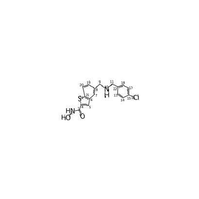 O=C(NO)c1cc2cc(CNCc3ccc(Cl)cc3)ccc2s1